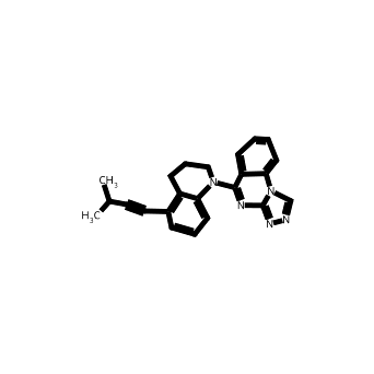 CC(C)C#Cc1cccc2c1CCCN2c1nc2nncn2c2ccccc12